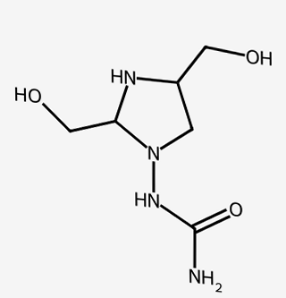 NC(=O)NN1CC(CO)NC1CO